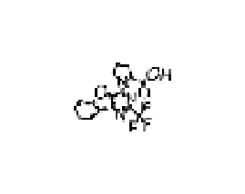 O=C(O)C1CCCN1c1nc(C(F)(F)F)nc2c1oc1ccccc12